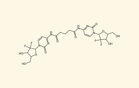 O=C(CCCC(=O)Nc1ccn(C2OC(CO)C(O)C2(F)F)c(=O)n1)Nc1ccn(C2OC(CO)C(O)C2(F)F)c(=O)n1